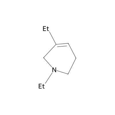 CCC1=CCCN(CC)C1